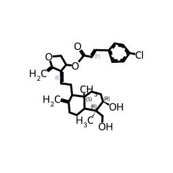 C=C1OCC(OC(=O)/C=C/c2ccc(Cl)cc2)/C1=C\CC1C(=C)CCC2[C@@]1(C)CC[C@@H](O)[C@@]2(C)CO